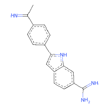 CC(=N)c1ccc(-c2cc3ccc(C(=N)N)cc3[nH]2)cc1